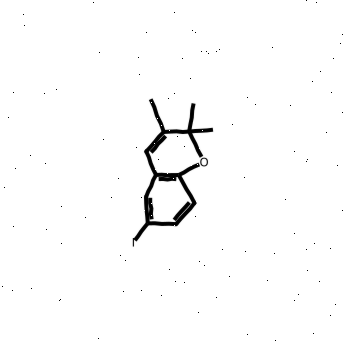 CC1=Cc2cc(I)ccc2OC1(C)C